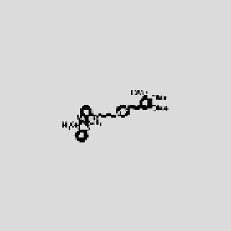 COc1cc(CCN2CCN(CCCCOc3ccccc3C3(C)Sc4ccccc4N(C)C3=O)CC2)cc(OC)c1OC